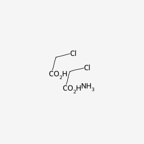 N.O=C(O)CCl.O=C(O)CCl